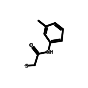 Cc1cccc(NC(=O)C[S])c1